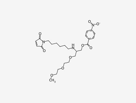 COCCOCCOCC(COC(=O)c1ccc([N+](=O)[O-])cc1)NCCCCCCN1C(=O)C=CC1=O